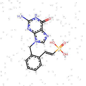 Nc1nc2c(ncn2Cc2ccccc2/C=C/P(=O)(O)O)c(=O)[nH]1